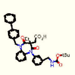 CCC1(CC(=O)O)C(=O)N(Cc2ccc(-c3ccccc3)cc2)c2ccccc2N(c2cccc(CNC(=O)OC(C)(C)C)c2)C1=O